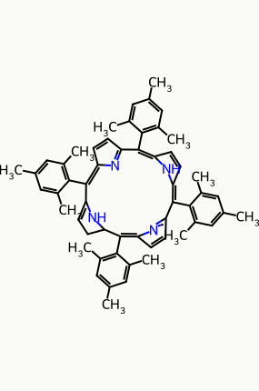 Cc1cc(C)c(/C2=C3\C=CC(=N3)/C(c3c(C)cc(C)cc3C)=c3/cc/c([nH]3)=C(\c3c(C)cc(C)cc3C)C3=N/C(=C(/c4c(C)cc(C)cc4C)C4CC=C2N4)C=C3)c(C)c1